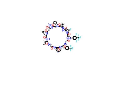 CC[C@H](C)[C@@H]1NC(=O)[C@H](CC2CC2)N(C)C(=O)C[C@@H](C(=O)N(C)C)N(C)C(=O)[C@H](C2CCCC2)N(C)C(=O)C2(CC(C)(C)C2)NC(=O)[C@@H]2C[C@@H](F)CN2C(=O)[C@H](CCc2cc(F)c(C(F)(F)F)c(F)c2)NC(=O)CN(C)C(=O)[C@H](Cc2ccc(C(F)(F)F)cc2)N2CC/C=C\C[C@@H](C2=O)N(C)C(=O)CN(C)C1=O